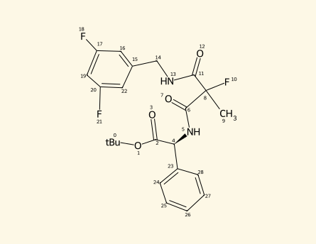 CC(C)(C)OC(=O)[C@@H](NC(=O)C(C)(F)C(=O)NCc1cc(F)cc(F)c1)c1ccccc1